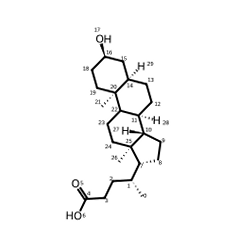 C[C@H](CCC(=O)O)[C@H]1CC[C@H]2[C@@H]3CC[C@@H]4C[C@H](O)CC[C@]4(C)C3CC[C@]12C